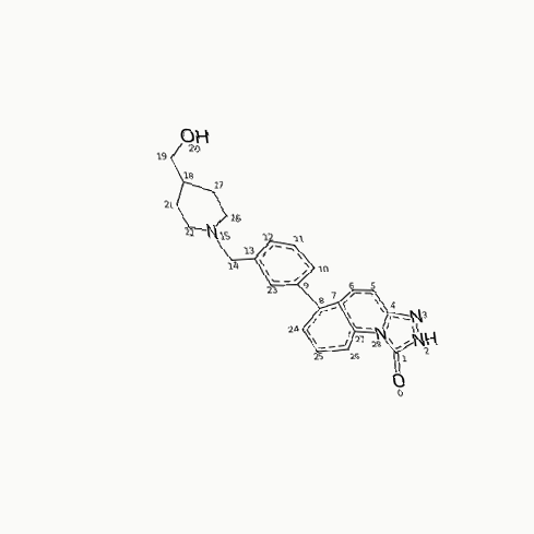 O=c1[nH]nc2ccc3c(-c4cccc(CN5CCC(CO)CC5)c4)cccc3n12